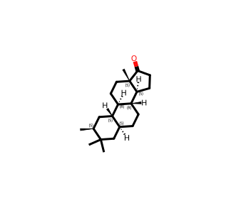 C[C@H]1C[C@H]2[C@@H](CC[C@@H]3[C@@H]2CC[C@]2(C)C(=O)CC[C@@H]32)CC1(C)C